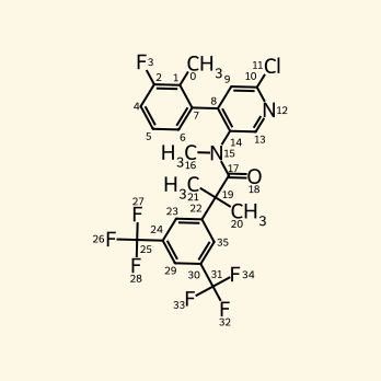 Cc1c(F)cccc1-c1cc(Cl)ncc1N(C)C(=O)C(C)(C)c1cc(C(F)(F)F)cc(C(F)(F)F)c1